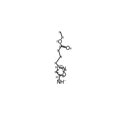 CCOC(=O)CCC[n+]1cc([NH-])on1